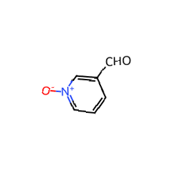 O=Cc1ccc[n+]([O-])c1